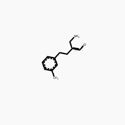 Cc1cccc(CC/C(=C/Cl)CN)c1